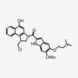 COc1cc2[nH]c(C(=O)N3CC(CCl)c4c3cc(O)c3ccccc43)cc2cc1OCCN(C)C